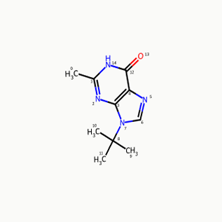 Cc1nc2c(ncn2C(C)(C)C)c(=O)[nH]1